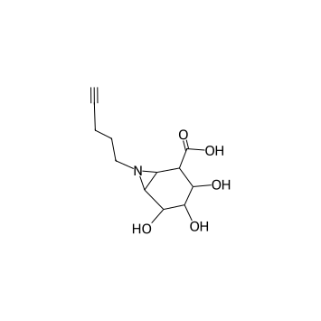 C#CCCCN1C2C(O)C(O)C(O)C(C(=O)O)C21